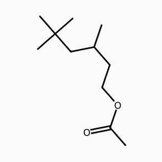 CC(=O)OCCC(C)CC(C)(C)C